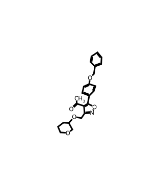 CC(=O)c1c(COC2CCCOC2)noc1-c1ccc(OCc2ccccc2)cc1